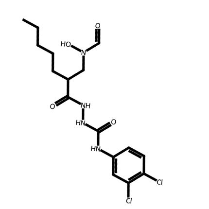 CCCCCC(CN(O)C=O)C(=O)NNC(=O)Nc1ccc(Cl)c(Cl)c1